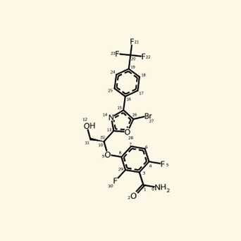 NC(=O)c1c(F)ccc(O[C@@H](CO)c2nc(-c3ccc(C(F)(F)F)cc3)c(Br)o2)c1F